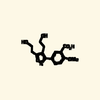 COc1ccc(-c2noc(CCO)c2CCO)cc1C(=O)O